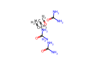 C=C.C=C.C=O.NC(N)=O.NC(N)=O.NC(N)=O